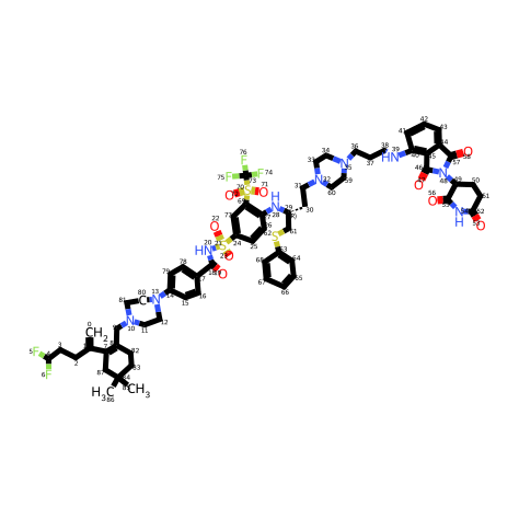 C=C(CCC(F)F)C1=C(CN2CCN(c3ccc(C(=O)NS(=O)(=O)c4ccc(N[C@H](CCN5CCN(CCCNc6cccc7c6C(=O)N(C6CCC(=O)NC6=O)C7=O)CC5)CSc5ccccc5)c(S(=O)(=O)C(F)(F)F)c4)cc3)CC2)CCC(C)(C)C1